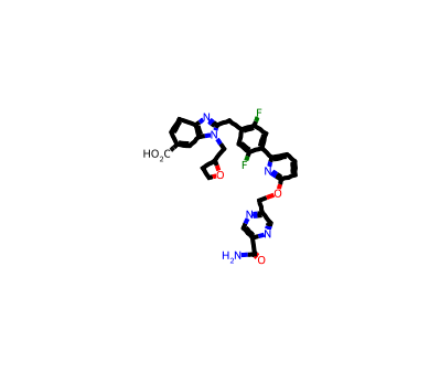 NC(=O)c1cnc(COc2cccc(-c3cc(F)c(Cc4nc5ccc(C(=O)O)cc5n4CC4CCO4)cc3F)n2)cn1